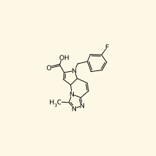 Cc1nnc2n1C1C=C(C(=O)O)N(Cc3cccc(F)c3)C1C=C2